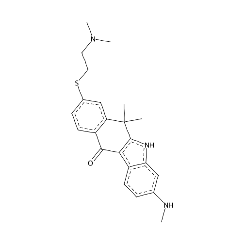 CNc1ccc2c3c([nH]c2c1)C(C)(C)c1cc(SCCN(C)C)ccc1C3=O